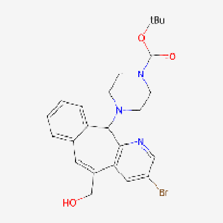 CC(C)(C)OC(=O)N1CCN(C2c3ccccc3C=C(CO)c3cc(Br)cnc32)CC1